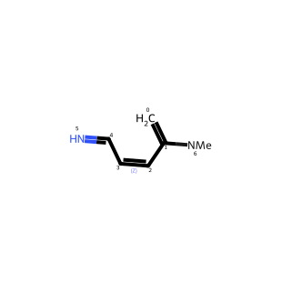 C=C(/C=C\C=N)NC